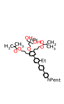 C=C(C)C(=O)OCCCc1cc(-c2ccc(-c3ccc(-c4ccc(CCCCC)cc4)cc3)c(CC)c2)cc(CCCOC(=O)C(=C)C)c1OCCC(CO)(CO)CCC